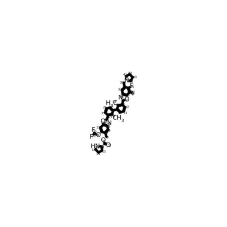 Cc1c(-c2nc3cc(COC(=O)[C@@H]4CCCN4)c(OC(F)F)cc3o2)cccc1-c1cccc(-c2nc3cc(CN4CCCC4)c(F)c(F)c3o2)c1C